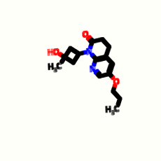 CCCOc1cnc2c(c1)CCC(=O)N2C1CC(C)(O)C1